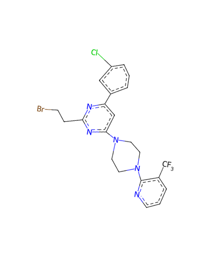 FC(F)(F)c1cccnc1N1CCN(c2cc(-c3cccc(Cl)c3)nc(CCBr)n2)CC1